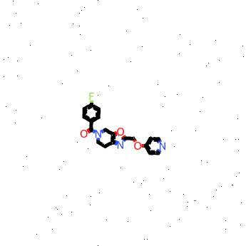 O=C(c1ccc(F)cc1)N1CCc2nc(COc3ccncc3)oc2C1